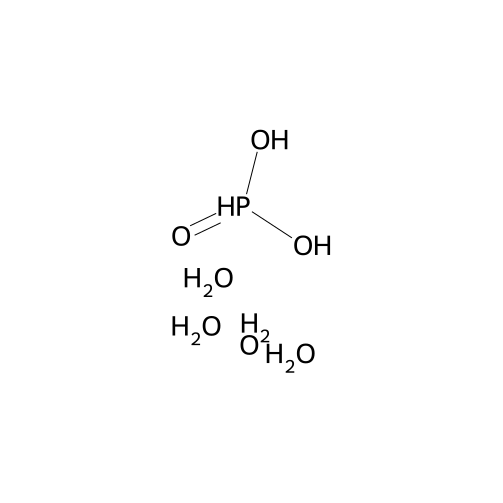 O.O.O.O.O=[PH](O)O